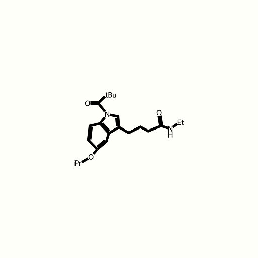 CCNC(=O)CCCc1cn(C(=O)C(C)(C)C)c2ccc(OC(C)C)cc12